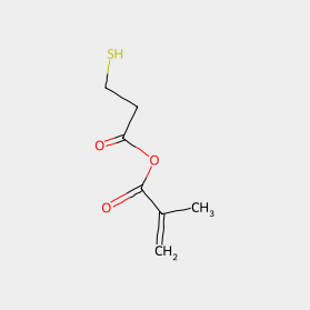 C=C(C)C(=O)OC(=O)CCS